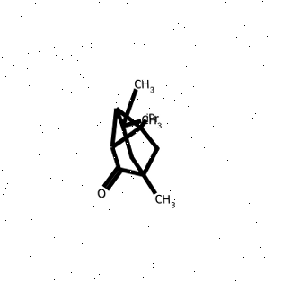 CC(C)C12CC3(C)CC(C)(C)C1C2C3=O